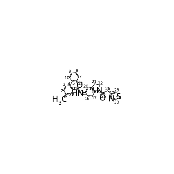 Cc1ccc(-c2ccccc2)c(C(=O)Nc2ccc3c(c2)CCN3C(=O)Cc2cscn2)c1